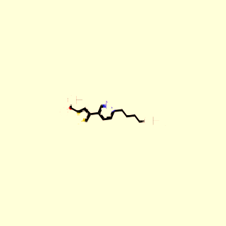 CCCCCc1ccc(-c2csc(C(C)=O)c2)cn1